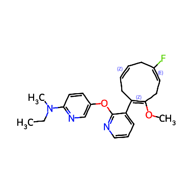 CCN(C)c1ccc(Oc2ncccc2/C2=C(\OC)C/C=C(/F)C/C=C\C2)cn1